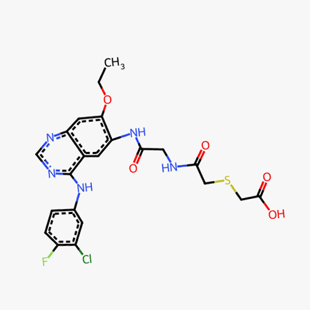 CCOc1cc2ncnc(Nc3ccc(F)c(Cl)c3)c2cc1NC(=O)CNC(=O)CSCC(=O)O